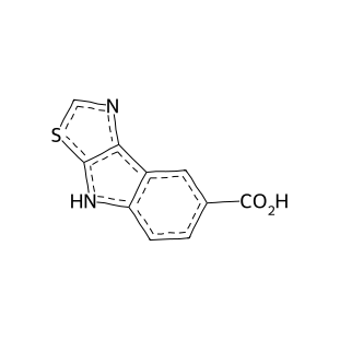 O=C(O)c1ccc2[nH]c3scnc3c2c1